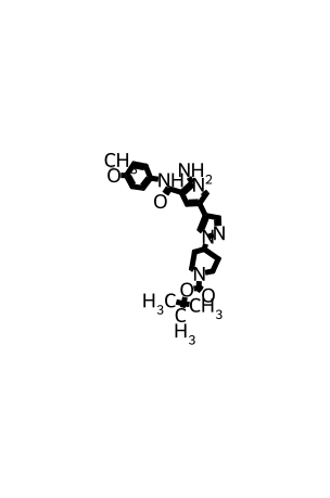 COc1ccc(NC(=O)c2cc(-c3cnn(C4CCN(C(=O)OC(C)(C)C)CC4)c3)cnc2N)cc1